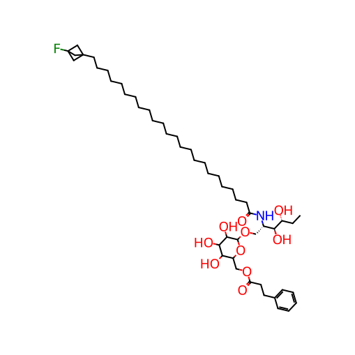 CC[C@@H](O)[C@@H](O)[C@H](COC1OC(COC(=O)CCc2ccccc2)C(O)C(O)C1O)NC(=O)CCCCCCCCCCCCCCCCCCCCCCCC12CC(F)(C1)C2